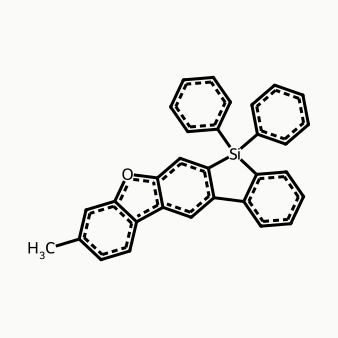 Cc1ccc2c(c1)oc1cc3c(cc12)-c1ccccc1[Si]3(c1ccccc1)c1ccccc1